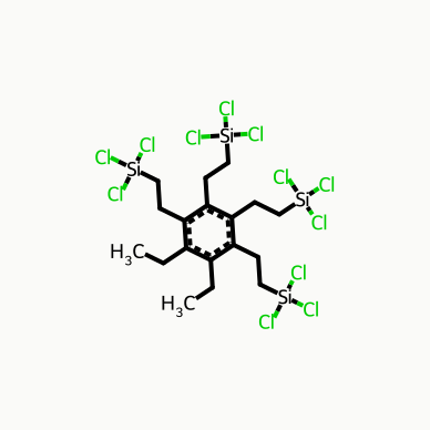 CCc1c(CC)c(CC[Si](Cl)(Cl)Cl)c(CC[Si](Cl)(Cl)Cl)c(CC[Si](Cl)(Cl)Cl)c1CC[Si](Cl)(Cl)Cl